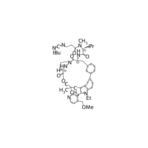 CCn1c(-c2cnccc2COC)c2c3cc(ccc31)-c1cccc(c1)C[C@H](NC(=O)[C@H](C(C)C)N(C)C(=O)CCN=C=NC(C)(C)C)C(=O)N1CCC[C@H](N1)C(=O)OCC(C)(C)C2